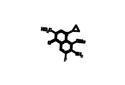 COc1c(N)c(F)cc2c(=O)c(C(=O)O)cn(C3CC3)c12